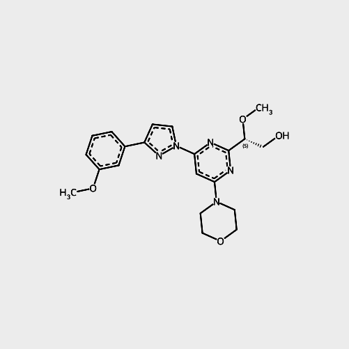 COc1cccc(-c2ccn(-c3cc(N4CCOCC4)nc([C@@H](CO)OC)n3)n2)c1